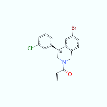 C=CC(=O)N1Cc2ccc(Br)cc2[C@H](c2cccc(Cl)c2)C1